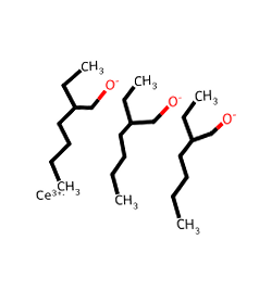 CCCCC(CC)C[O-].CCCCC(CC)C[O-].CCCCC(CC)C[O-].[Ce+3]